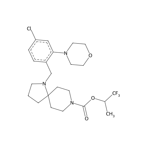 CC(OC(=O)N1CCC2(CCCN2Cc2ccc(Cl)cc2N2CCOCC2)CC1)C(F)(F)F